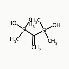 C=C([Si](C)(C)O)[Si](C)(C)O